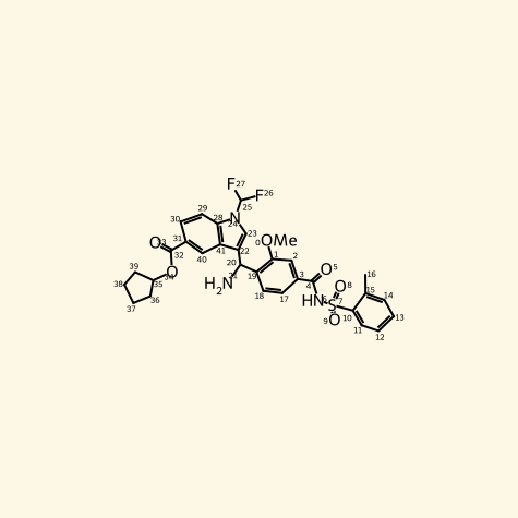 COc1cc(C(=O)NS(=O)(=O)c2ccccc2C)ccc1C(N)c1cn(C(F)F)c2ccc(C(=O)OC3CCCC3)cc12